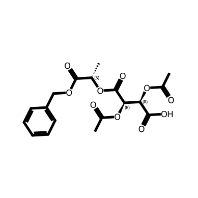 CC(=O)O[C@@H](C(=O)O)[C@@H](OC(C)=O)C(=O)O[C@@H](C)C(=O)OCc1ccccc1